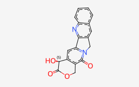 O=C1OCc2c(cc3n(c2=O)Cc2cc4ccccc4nc2-3)[C@@H]1O